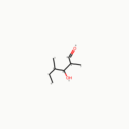 CCC(C)C(O)C(C)C=O